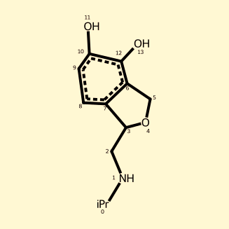 CC(C)NCC1OCc2c1ccc(O)c2O